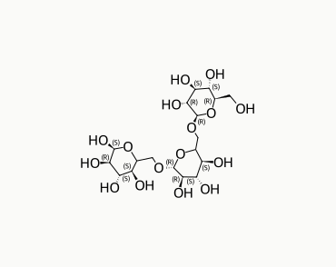 OC[C@H]1O[C@@H](OCC2O[C@@H](OCC3O[C@H](O)[C@H](O)[C@@H](O)[C@@H]3O)[C@H](O)[C@@H](O)[C@@H]2O)[C@H](O)[C@@H](O)[C@@H]1O